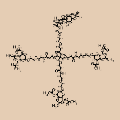 CC(=O)OC[C@H]1O[C@@H](OCCOCCNC(=O)CCOCC(COCCC(=O)NCCOCCO[C@H]2C[C@@H](OC(C)=O)[C@@H](OC(C)=O)[C@@H](COC(C)=O)O2)(COCCC(=O)NCCOCCO[C@H]2C[C@@H](OC(C)=O)[C@@H](OC(C)=O)[C@@H](COC(C)=O)O2)NC(=O)CCOCCOCCNC(=O)C(C)(C)CC(C)(C)C2CCC(OP(=O)(S)I)CC2)C[C@@H](OC(C)=O)[C@H]1OC(C)=O